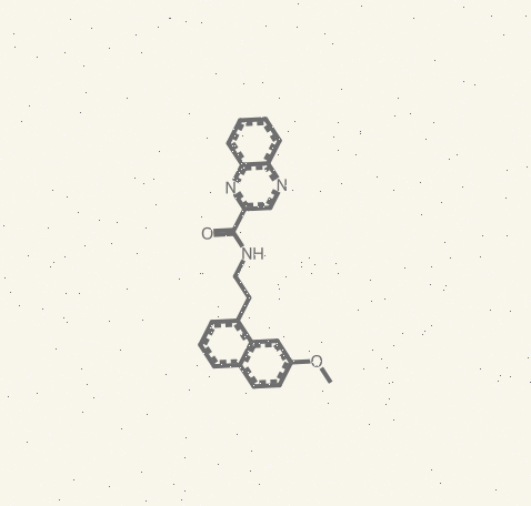 COc1ccc2cccc(CCNC(=O)c3cnc4ccccc4n3)c2c1